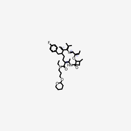 C/C=C(\C=N\C(=C(C)C)/C(=C/C)C(CC/C(C(=O)N(CC)CCCOC1CCCCO1)=C(\C)NC=O)Cc1ccc(F)cc1)OC1CCC1C